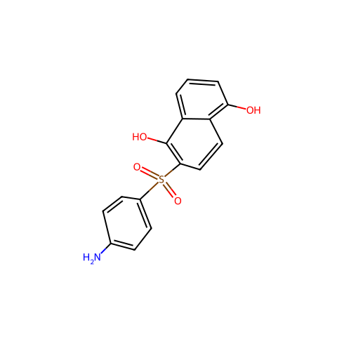 Nc1ccc(S(=O)(=O)c2ccc3c(O)cccc3c2O)cc1